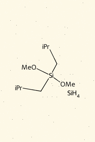 CO[Si](CC(C)C)(CC(C)C)OC.[SiH4]